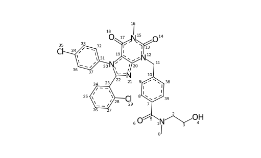 CN(CCO)C(=O)c1ccc(Cn2c(=O)n(C)c(=O)c3c2nc(-c2ccccc2Cl)n3-c2ccc(Cl)cc2)cc1